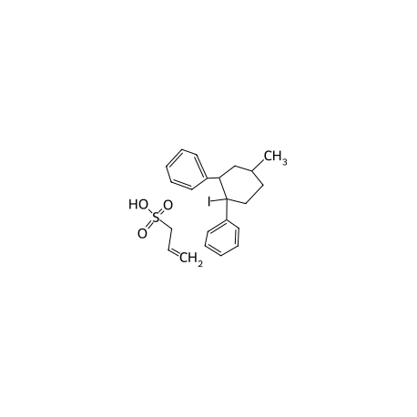 C=CCS(=O)(=O)O.CC1CCC(I)(c2ccccc2)C(c2ccccc2)C1